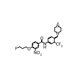 CN1CCN(C=C2C=CC(NC(=O)c3ccc(OCCCF)c([N+](=O)[O-])c3)=CC2C(F)(F)F)CC1